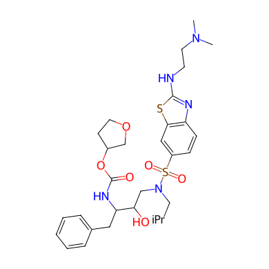 CC(C)CN(CC(O)C(Cc1ccccc1)NC(=O)OC1CCOC1)S(=O)(=O)c1ccc2nc(NCCN(C)C)sc2c1